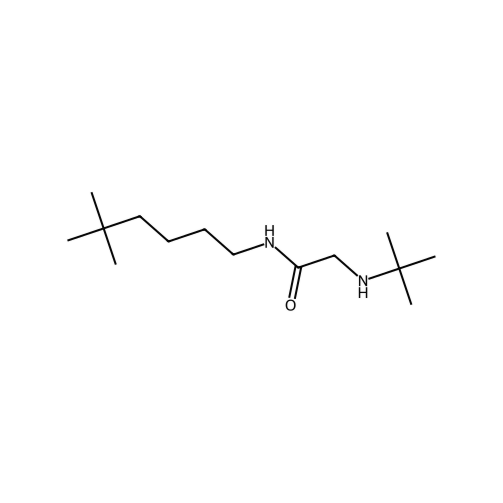 CC(C)(C)CCCCNC(=O)CNC(C)(C)C